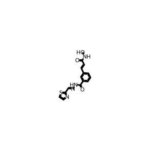 O=C(/C=C/c1cccc(C(=O)N/N=C/c2nccs2)c1)NO